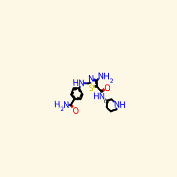 NC(=O)c1ccc(Nc2nc(N)c(C(=O)N[C@H]3CCCNC3)s2)cc1